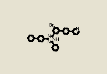 Brc1cc(-c2ccc(-c3cccnc3)cc2)cc(C2N=C(c3ccc(-c4ccccc4)cc3)N=C(c3ccccc3)N2)c1